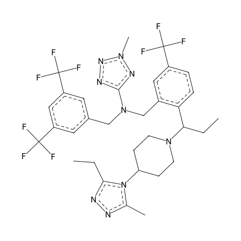 CCc1nnc(C)n1C1CCN(C(CC)c2ccc(C(F)(F)F)cc2CN(Cc2cc(C(F)(F)F)cc(C(F)(F)F)c2)c2nnn(C)n2)CC1